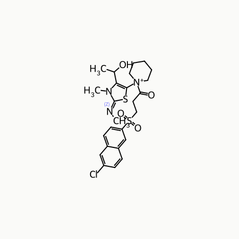 C/N=c1\sc([N+]2(C(=O)CCS(=O)(=O)c3ccc4cc(Cl)ccc4c3)CCCCC2)c(C(C)O)n1C